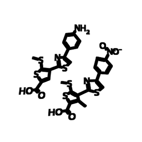 CSc1sc(C(=O)O)c(C)c1-c1nc(-c2ccc([N+](=O)[O-])cc2)cs1.CSc1sc(C(=O)O)cc1-c1nc(-c2ccc(N)cc2)cs1